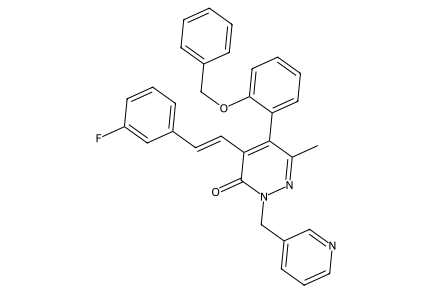 Cc1nn(Cc2cccnc2)c(=O)c(C=Cc2cccc(F)c2)c1-c1ccccc1OCc1ccccc1